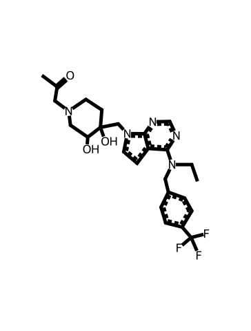 CCN(Cc1ccc(C(F)(F)F)cc1)c1ncnc2c1ccn2CC1(O)CCN(CC(C)=O)CC1O